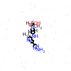 C[C@@H]1[C@H]2CN(C(=O)C(C)(C)O)C[C@H]2C[C@H]1Nc1ccnn2cc(-c3cnc(N)nc3)cc12